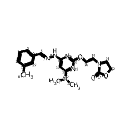 Cc1cccc(C=NNc2cc(N(C)C)nc(OCCN3CCOC3=O)n2)c1